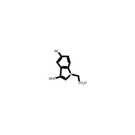 N#Cc1ccc2c(c1)c(C=O)cn2CC(=O)O